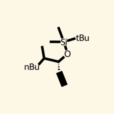 C#C[C@@H](O[Si](C)(C)C(C)(C)C)C(C)CCCC